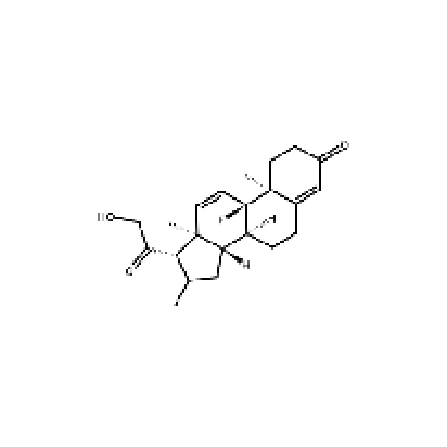 CC1C[C@H]2[C@@H]3CCC4=CC(=O)CC[C@]4(C)[C@@]3(F)C=C[C@]2(C)[C@H]1C(=O)CO